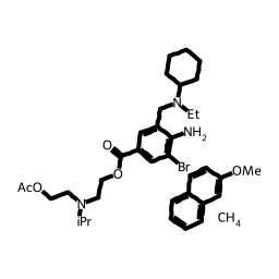 C.CCN(Cc1cc(C(=O)OCCN(CCOC(C)=O)C(C)C)cc(Br)c1N)C1CCCCC1.COc1ccc2ccccc2c1